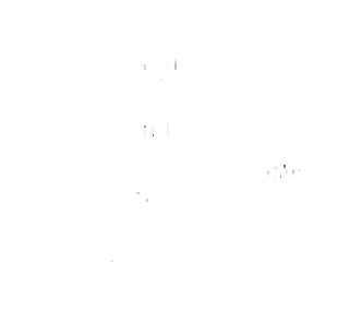 COc1cccc(-n2c(=O)ccc3cc(C(=O)O)[nH]c32)c1